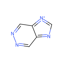 C1=[N+]=c2cnncc2=N1